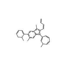 C=C/C=C\c1c(C)c2cc(C3=CC=CCC3C)c(C)cc2n1C1=CC(C)C=CC=C1